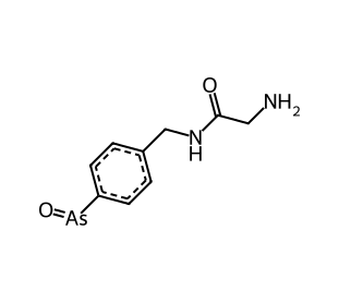 NCC(=O)NCc1ccc([As]=O)cc1